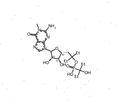 CCC(CC)(C[C@H]1OC(n2cnc3c(=O)n(C)c(N)nc32)[C@H](O)[C@@H]1O)OP(=O)(O)C(O)(CC)CC